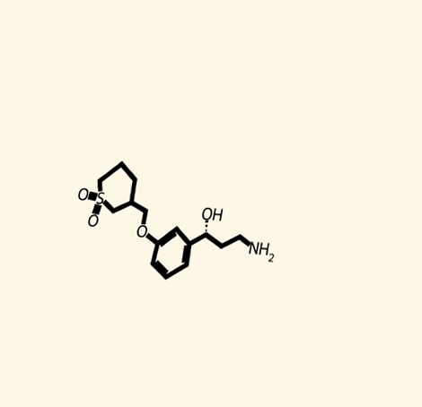 NCC[C@@H](O)c1cccc(OCC2CCCS(=O)(=O)C2)c1